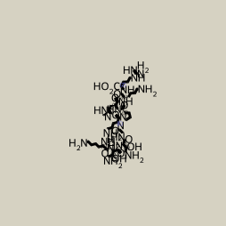 N=C(N)NCC/C=C(\NC(=O)[C@H](CCCCN)NC(=O)[C@H](Cc1cnc[nH]1)NC(=O)[C@@H]1CCCN1C(=O)/C(CCCN)=N/C(=O)CNC(=O)[C@@H](NC(=O)[C@@H](NC(=O)[C@@H](N)CCCCN)[C@@H](O)CN)[C@@H](O)CN)C(=O)O